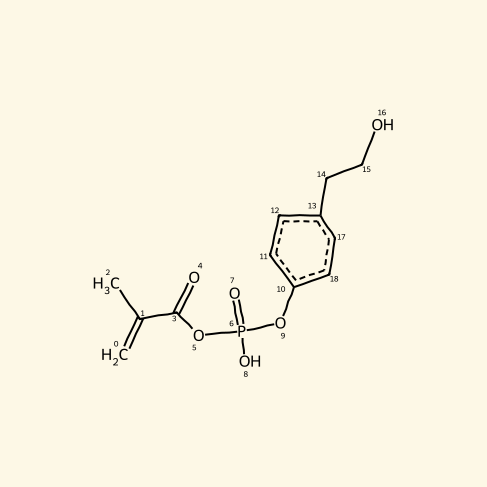 C=C(C)C(=O)OP(=O)(O)Oc1ccc(CCO)cc1